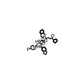 O=C(CCC(=O)N1Cc2ccccc2C[C@H]1C(=O)N[C@@H](CCN1CCC(F)CC1)C(=O)Nc1ccc2c(c1)CCC2)c1ccccc1